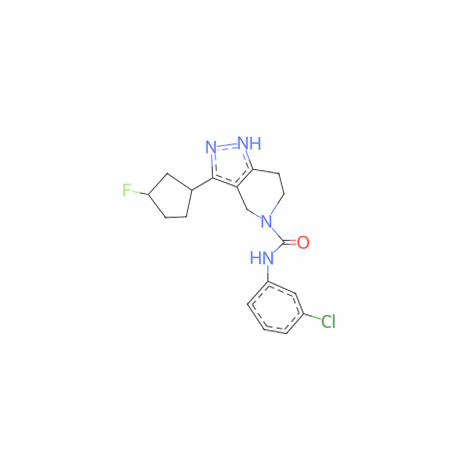 O=C(Nc1cccc(Cl)c1)N1CCc2[nH]nc(C3CCC(F)C3)c2C1